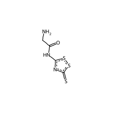 NCC(=O)Nc1nc(=S)ss1